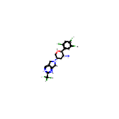 N[C@H]1C[C@@H](N2Cc3cnc(C(F)(F)F)nc3C2)COC1c1cc(F)c(F)cc1F